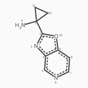 NC1(c2nc3cnccc3o2)CC1